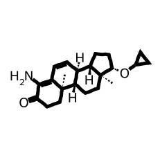 C[C@]12CC[C@H]3[C@@H](C=CC4=C(N)C(=O)CC[C@@]43C)[C@@H]1CC[C@@H]2OC1CC1